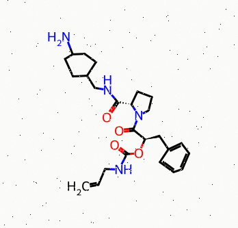 C=CCNC(=O)O[C@H](Cc1ccccc1)C(=O)N1CCC[C@H]1C(=O)NCC1CCC(N)CC1